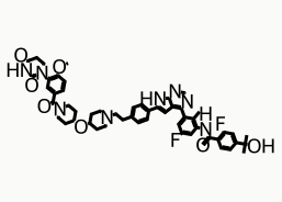 COc1ccc(C(=O)N2CCC(OC3CCN(CCc4ccc(-c5cc6c(-c7cc(F)cc(NC(=O)c8ccc(C(C)(C)O)cc8F)c7C)ncnc6[nH]5)cc4)CC3)CC2)cc1N1CCC(=O)NC1=O